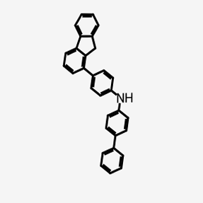 c1ccc(-c2ccc(Nc3ccc(-c4cccc5c4Cc4ccccc4-5)cc3)cc2)cc1